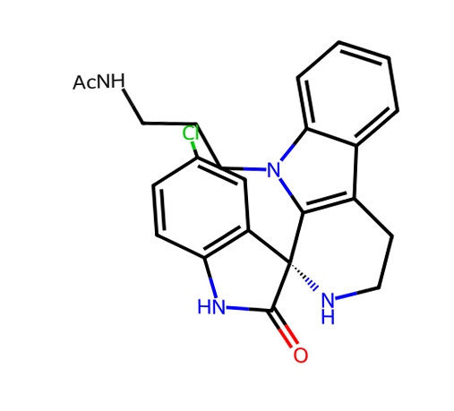 CC(=O)NCCCn1c2c(c3ccccc31)CCN[C@@]21C(=O)Nc2ccc(Cl)cc21